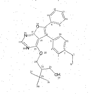 CCc1ccc(-c2c(-c3ccccc3)oc3ncnc(OCC(CO)C(C)(C)C)c23)cc1